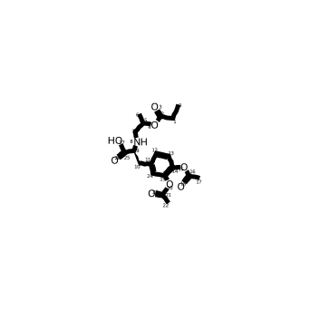 CCC(=O)OC(C)CN[C@@H](Cc1ccc(OC(C)=O)c(OC(C)=O)c1)C(=O)O